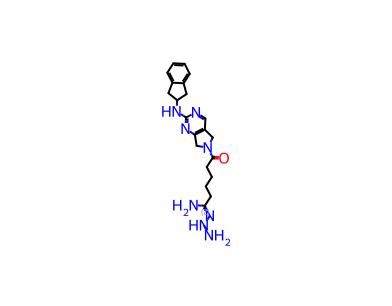 NN/N=C(\N)CCCCC(=O)N1Cc2cnc(NC3Cc4ccccc4C3)nc2C1